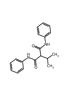 CC(C)C(C(=O)Nc1ccccc1)C(=O)Nc1ccccc1